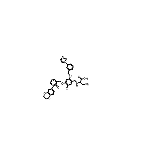 O=C(O)[C@@H](CO)NCc1cc(Cl)c(OCc2cccn(-c3ccc4c(c3)OCCO4)c2=O)cc1OCc1cncc(-n2ccnn2)c1